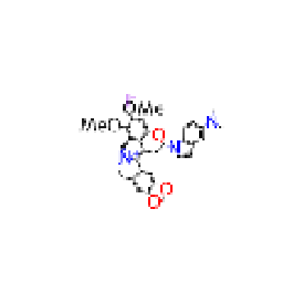 COc1ccc2c(CC(=O)n3ccc4cc(N(C)C)ccc43)c3[n+](cc2c1OC)CCc1cc2c(cc1-3)OCO2.[I-]